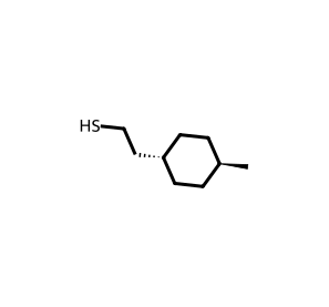 C[C@H]1CC[C@H](CCS)CC1